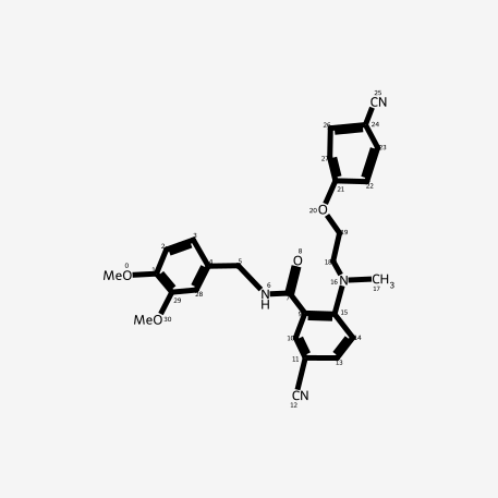 COc1ccc(CNC(=O)c2cc(C#N)ccc2N(C)CCOc2ccc(C#N)cc2)cc1OC